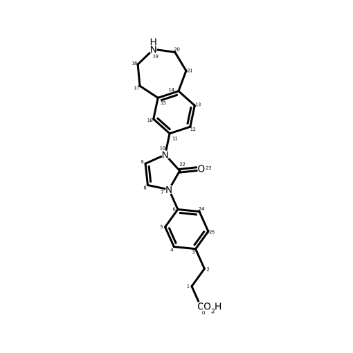 O=C(O)CCc1ccc(-n2ccn(-c3ccc4c(c3)CCNCC4)c2=O)cc1